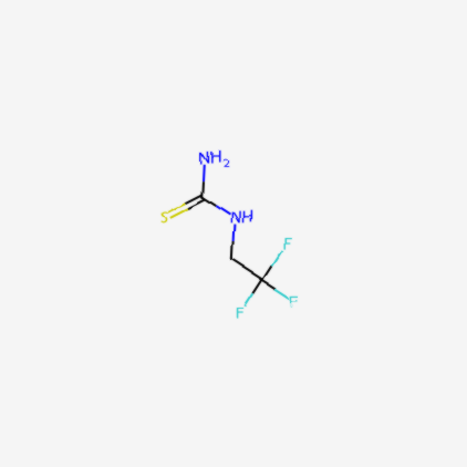 NC(=S)NCC(F)(F)F